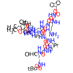 Cc1c(C)c(S(=O)(=O)NC(=N)NCCCC(NC(=O)CNC(=O)C(CCCCN)NC(=O)CNC(=O)OCC2c3ccccc3-c3ccccc32)C(=O)NC(C(=O)NCC(=O)NC(CC(C)C)C(=O)N2CCCC2C(=O)NCC(=O)NC(C=O)CCCCNC(=O)OC(C)(C)C)C(C)C)c(C)c2c1CC(C)(C)CO2